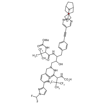 COC(=O)NC(C(=O)NC(Cc1ccc(C#Cc2cnc(N3CC4CCC(C3)N4C3COC3)nc2)cc1)C(O)CN(Cc1ccc(-c2ccn(C(F)F)n2)cc1)NC(=O)C(NC(=O)O)C(C)(C)C(F)(F)F)C(C)(C)C(F)(F)F